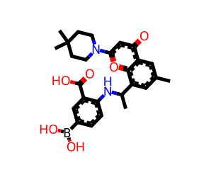 Cc1cc(C(C)Nc2ccc(B(O)O)cc2C(=O)O)c2oc(N3CCC(C)(C)CC3)cc(=O)c2c1